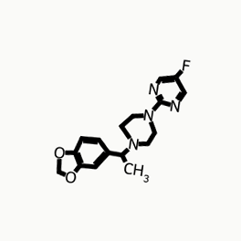 CC(c1ccc2c(c1)OCO2)N1CCN(c2ncc(F)cn2)CC1